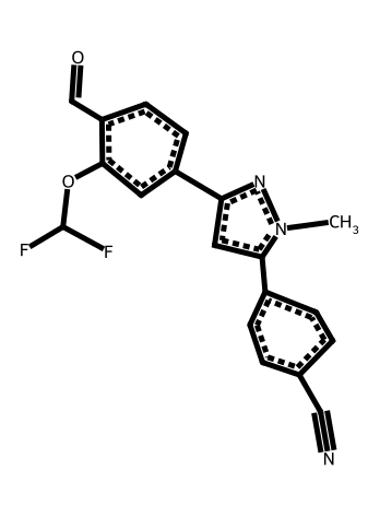 Cn1nc(-c2ccc(C=O)c(OC(F)F)c2)cc1-c1ccc(C#N)cc1